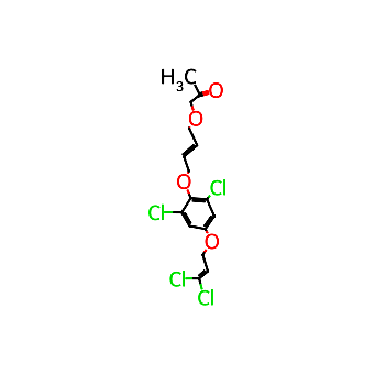 CC(=O)COCC=CCOc1c(Cl)cc(OCC=C(Cl)Cl)cc1Cl